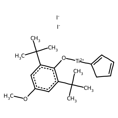 COc1cc(C(C)(C)C)c([O][Ti+2][C]2=CC=CC2)c(C(C)(C)C)c1.[I-].[I-]